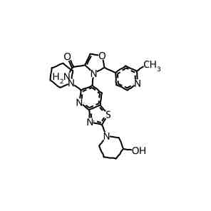 Cc1cc(C2OC=C(C(N)=O)N2c2cc3sc(N4CCCC(O)C4)nc3nc2N2CCCCC2)ccn1